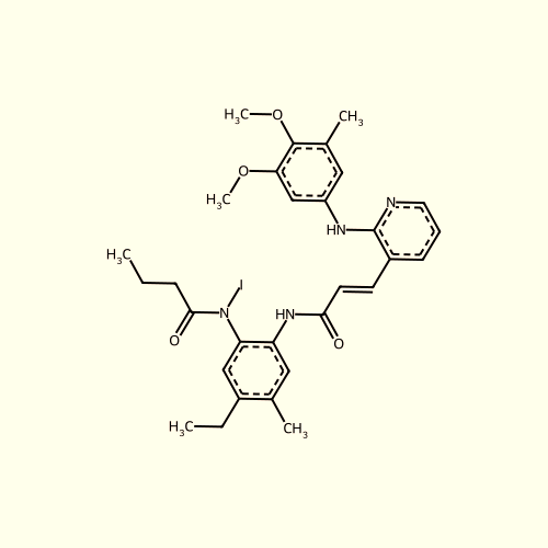 CCCC(=O)N(I)c1cc(CC)c(C)cc1NC(=O)/C=C/c1cccnc1Nc1cc(C)c(OC)c(OC)c1